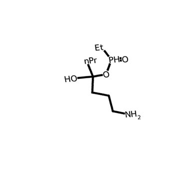 CCCC(O)(CCCN)O[PH](=O)CC